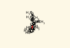 CCCCC1(C)CC12CC[C@H](O)C(C)(C)[C@@H]2[C@@H](O)CC[C@]1(C)C[C@H](OCOC)[C@H](C2CC[C@@H](C(C)(C)OCOC)O2)C1